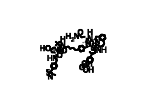 C/C(=C\C(=O)N[C@H]1CCc2cccc3c2N(C1=O)[C@H](C(=O)N[C@@H](CCC(N)=O)[C@@H](C)OCc1ccc(CCCCC(=O)N[C@H](C(=O)N2C[C@H](O)C[C@H]2C(=O)NCc2ccc(-c4scnc4C)cc2)C(C)(C)C)cc1)C3)c1ccc(CP(=O)(O)O)cc1